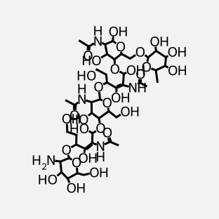 CC(=O)N/C(=C(\O)C(CCO)OC1OC(CO)C(O)C(O)C1N)C(O)OC1C(CO)OC(OC(CCO)/C(O)=C(/NC(C)=O)C(O)OC2C(COC3OC(C)C(O)C(O)C3O)OC(O)C(NC(C)=O)C2O)C(NC(C)=O)C1O